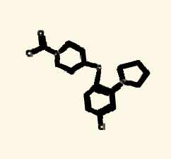 O=C(Cl)N1CCC(Oc2ccc(Cl)cc2N2CCCC2)CC1